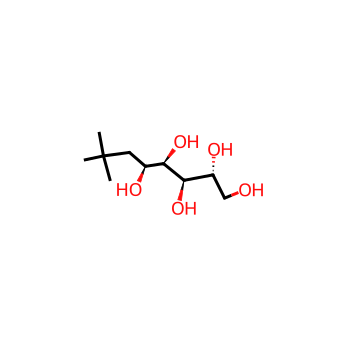 CC(C)(C)C[C@H](O)[C@@H](O)[C@H](O)[C@H](O)CO